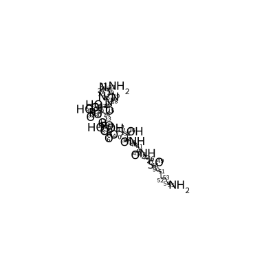 CC(C)(COP(=O)(O)OP(=O)(O)OC[C@H]1O[C@@H](n2cnc3c(N)ncnc32)[C@H](O)[C@@H]1OP(=O)(O)O)[C@@H](O)C(=O)NCCC(=O)NCCSC(=O)CCCCCN